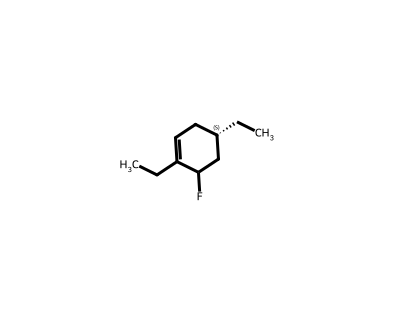 CCC1=CC[C@H](CC)CC1F